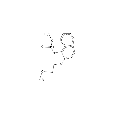 COCCOc1ccc2ccccc2c1O[PH](=O)OC